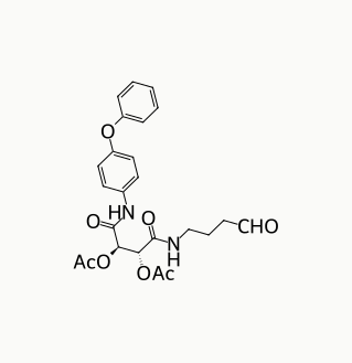 CC(=O)O[C@@H](C(=O)NCCCC=O)[C@@H](OC(C)=O)C(=O)Nc1ccc(Oc2ccccc2)cc1